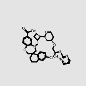 CC(CO[C@@H]1CCO[C@H]([C@@H]2CC[C@H]2CN2CC3(CCCc4cc(Cl)ccc43)COc3ccc(C(=O)O)cc32)C1)Sc1ncccn1